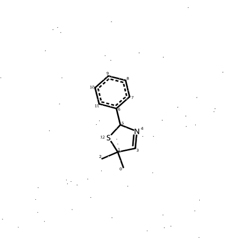 CC1(C)C=NC(c2ccccc2)S1